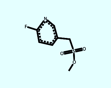 COS(=O)(=O)Cc1ccc(F)nc1